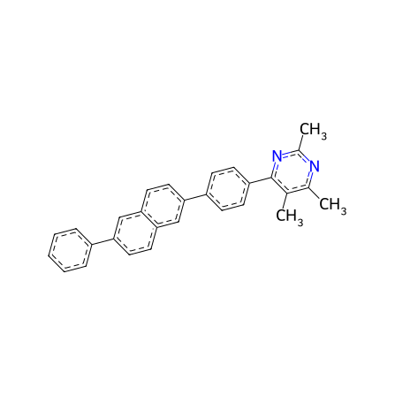 Cc1nc(C)c(C)c(-c2ccc(-c3ccc4cc(-c5ccccc5)ccc4c3)cc2)n1